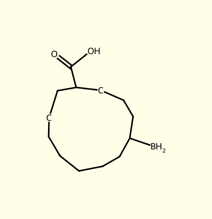 BC1CCCCCCCC(C(=O)O)CCC1